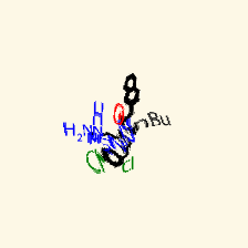 CCCC[C@@H]1CN(C[C@H](N)Cc2ccc(Cl)cc2Cl)[C@@H](CCCNC(=N)N)CN1C(=O)Cc1ccc2ccccc2c1